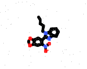 CCCCCn1c(-c2cc3c(cc2[N+](=O)[O-])OCO3)nc2ccccc21